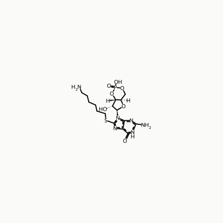 NCCCCCCSc1nc2c(=O)[nH]c(N)nc2n1[C@@H]1O[C@@H]2COP(=O)(O)O[C@H]2[C@H]1O